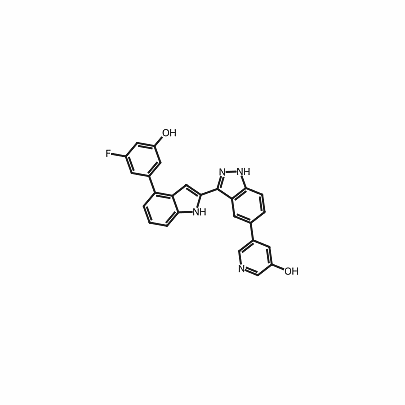 Oc1cncc(-c2ccc3[nH]nc(-c4cc5c(-c6cc(O)cc(F)c6)cccc5[nH]4)c3c2)c1